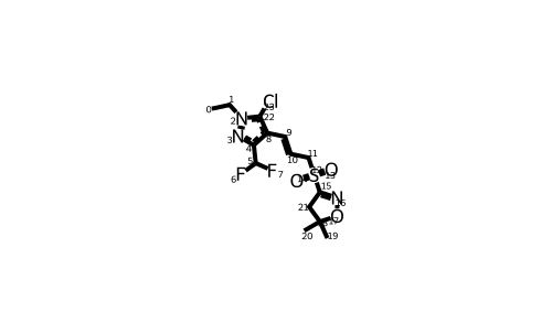 CCn1nc(C(F)F)c(/C=C/CS(=O)(=O)C2=NOC(C)(C)C2)c1Cl